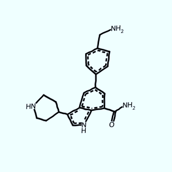 NCc1ccc(-c2cc(C(N)=O)c3[nH]cc(C4CCNCC4)c3c2)cc1